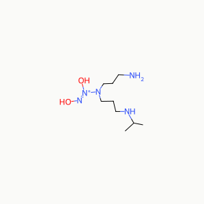 CC(C)NCCCN(CCCN)/[N+](O)=N/O